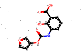 O=C(Nc1cccc(C(=O)O)c1O)Oc1ccoc1